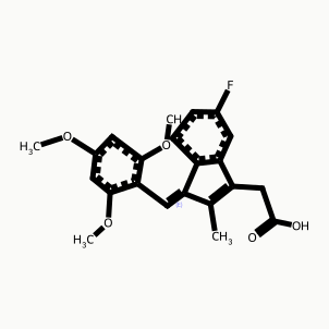 COc1cc(OC)c(/C=C2/C(C)=C(CC(=O)O)c3cc(F)ccc32)c(OC)c1